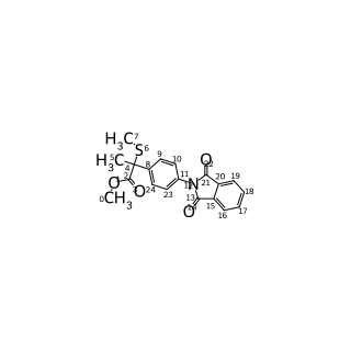 COC(=O)C(C)(SC)c1ccc(N2C(=O)c3ccccc3C2=O)cc1